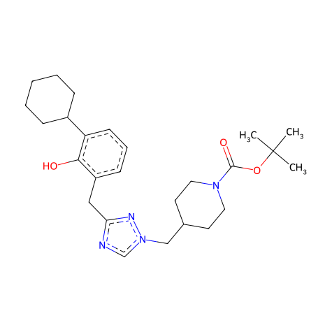 CC(C)(C)OC(=O)N1CCC(Cn2cnc(Cc3cccc(C4CCCCC4)c3O)n2)CC1